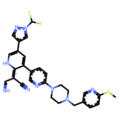 CSc1ccc(CN2CCN(c3ccc(C4=CC(c5cnn(C(F)F)c5)=CN/C4=C(/C#N)C=N)cn3)CC2)cn1